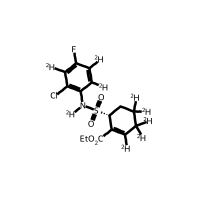 [2H]C1=C(C(=O)OCC)[C@H](S(=O)(=O)N([2H])c2c([2H])c([2H])c(F)c([2H])c2Cl)CC([2H])([2H])C1([2H])[2H]